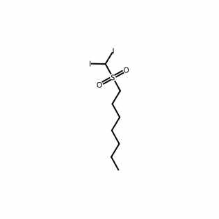 CCCCCCCS(=O)(=O)C(I)I